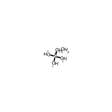 O.O[Si](O)(O)O